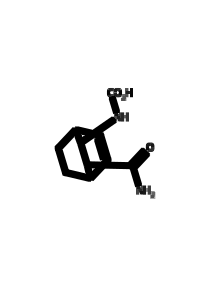 NC(=O)C1C2C=CC(CC2)C1NC(=O)O